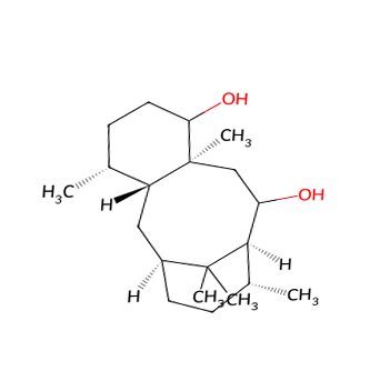 C[C@@H]1CCC(O)[C@@]2(C)CC(O)[C@H]3[C@H](C)CC[C@@H](C[C@H]12)C3(C)C